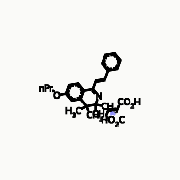 CCCOc1ccc2c(c1)C(C)(C)C(C)(C)N=C2C=Cc1ccccc1.O=C(O)/C=C/C(=O)O